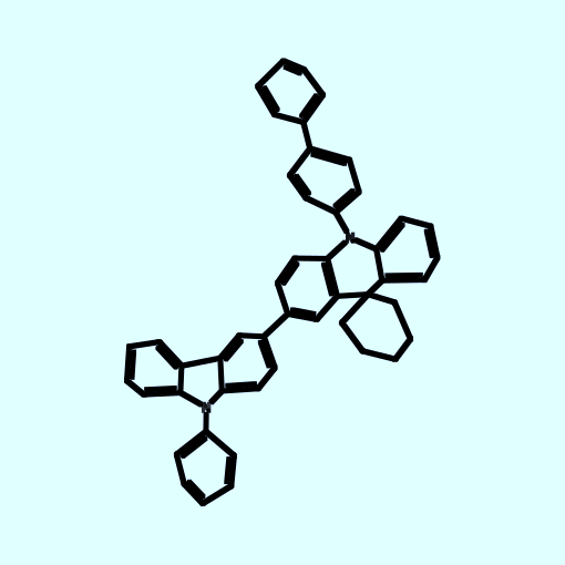 c1ccc(-c2ccc(N3c4ccccc4C4(CCCCC4)c4cc(-c5ccc6c(c5)c5ccccc5n6-c5ccccc5)ccc43)cc2)cc1